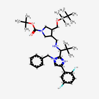 CC(C)(C)OC(=O)N1CC(CNC(c2nc(-c3cc(F)ccc3F)cn2Cc2ccccc2)C(C)(C)C)C(CO[Si](C)(C)C(C)(C)C)C1